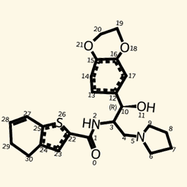 O=C(NC(CN1CCCC1)[C@H](O)c1ccc2c(c1)OCCO2)c1cc2c(s1)C=CCC2